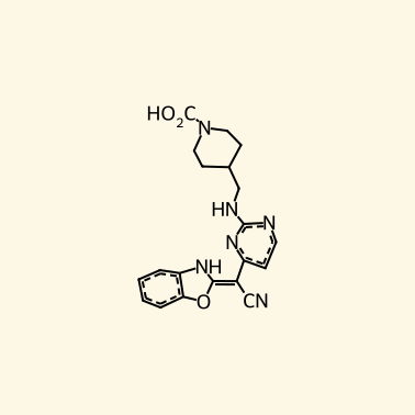 N#CC(=C1Nc2ccccc2O1)c1ccnc(NCC2CCN(C(=O)O)CC2)n1